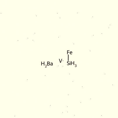 [BaH2].[SiH3][Fe].[V]